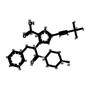 CC(C)(C)C#Cc1cc(N(Cc2cccnc2)C(=O)[C@H]2CC[C@H](C)CC2)c(C(=O)O)s1